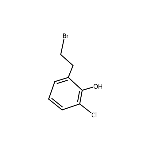 Oc1c(Cl)cccc1CCBr